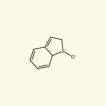 [O-][S+]1CC=C2C=CC=CC21